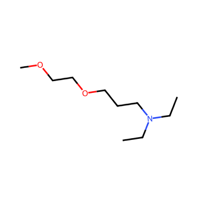 CCN(CC)CCCOCCOC